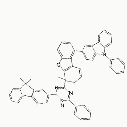 CC1(C2=NC(c3ccc4c(c3)C(C)(C)c3ccccc3-4)NC(c3ccccc3)=N2)CC=Cc2c1oc1cccc(-c3ccc4c(c3)c3ccccc3n4-c3ccccc3)c21